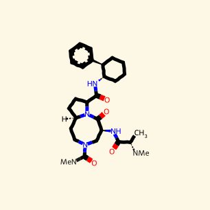 CNC(=O)N1CC[C@H]2CCC(C(=O)N[C@H]3CCCC[C@@H]3c3ccccc3)N2C(=O)[C@@H](NC(=O)[C@H](C)NC)C1